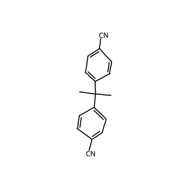 CC(C)(c1ccc(C#N)cc1)c1ccc(C#N)cc1